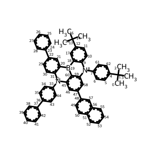 CC(C)(C)c1ccc(N2c3ccc(C(C)(C)C)cc3B3c4cc(-c5ccccc5)ccc4N(c4ccc(-c5ccccc5)cc4)c4cc(-c5ccc6ccccc6c5)cc2c43)cc1